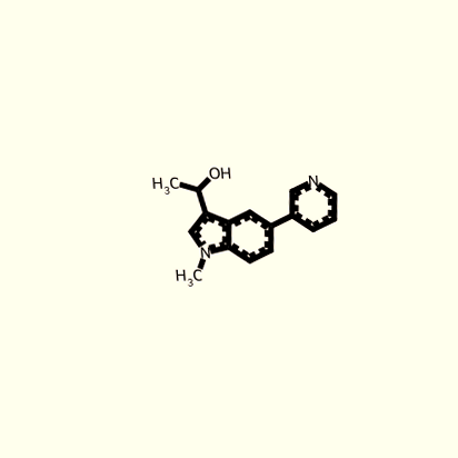 CC(O)c1cn(C)c2ccc(-c3cccnc3)cc12